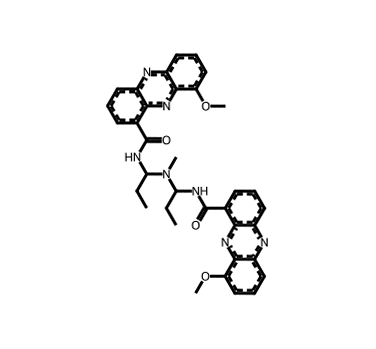 CCC(NC(=O)c1cccc2nc3cccc(OC)c3nc12)N(C)C(CC)NC(=O)c1cccc2nc3cccc(OC)c3nc12